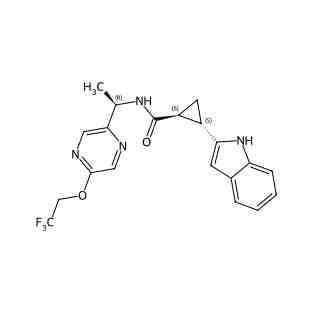 C[C@@H](NC(=O)[C@H]1C[C@@H]1c1cc2ccccc2[nH]1)c1cnc(OCC(F)(F)F)cn1